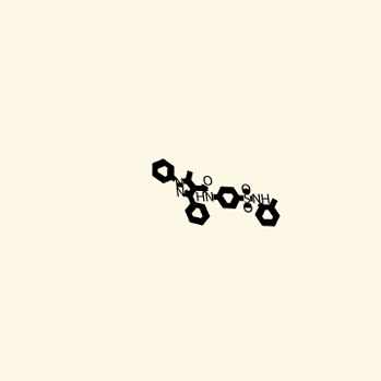 Cc1ccccc1NS(=O)(=O)c1ccc(NC(=O)c2c(-c3ccccc3)nn(-c3ccccc3)c2C)cc1